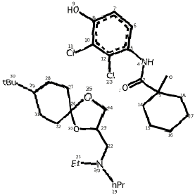 CC1(C(=O)Nc2ccc(O)c(Cl)c2Cl)CCCCC1.CCCN(CC)CC1COC2(CCC(C(C)(C)C)CC2)O1